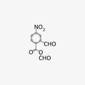 O=COC(=O)c1ccc([N+](=O)[O-])cc1C=O